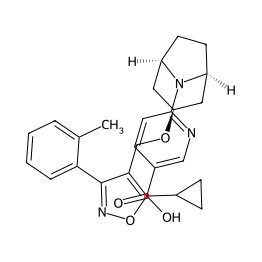 Cc1ccccc1-c1noc(C2CC2)c1CO[C@H]1C[C@H]2CC[C@@H](C1)N2c1ccc(C(=O)O)cn1